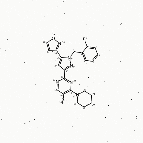 Fc1ccccc1Cn1nc(-c2ncc(F)c(N3CCCCC3)n2)cc1-c1ccon1